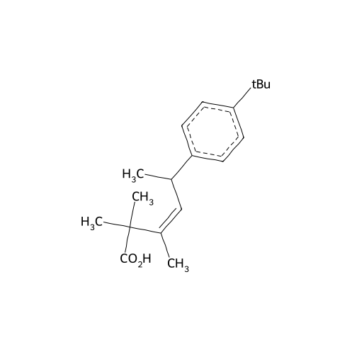 CC(=CC(C)c1ccc(C(C)(C)C)cc1)C(C)(C)C(=O)O